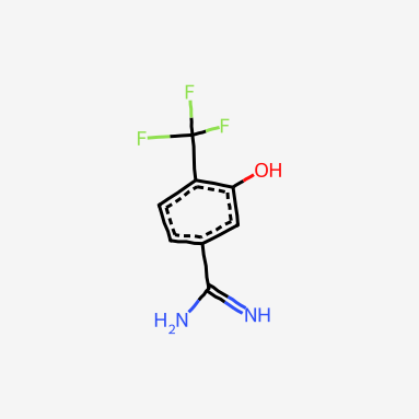 N=C(N)c1ccc(C(F)(F)F)c(O)c1